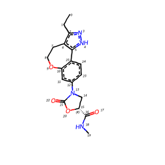 CCc1n[nH]c2c1CCOc1cc(N3C[C@H](C(=O)NC)OC3=O)ccc1-2